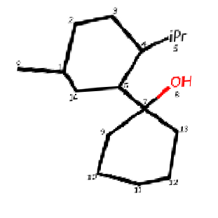 CC1CCC(C(C)C)C(C2(O)CCCCC2)C1